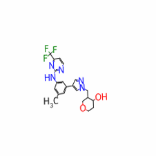 Cc1cc(Nc2nccc(C(F)(F)F)n2)cc(-c2cnn(CC3COCCC3O)c2)c1